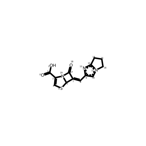 O=C(O)C1=CSC2/C(=C/c3cn4c(n3)CCC4)C(=O)N12